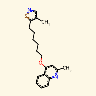 Cc1cc(OCCCCCCc2sncc2C)c2ccccc2n1